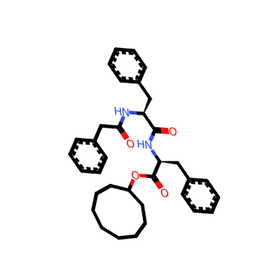 O=C(Cc1ccccc1)N[C@@H](Cc1ccccc1)C(=O)N[C@@H](Cc1ccccc1)C(=O)OC1CCCCCCCC1